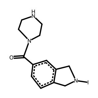 O=C(c1ccc2c(c1)CN(I)C2)N1CCNCC1